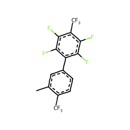 Cc1cc(-c2c(F)c(F)c(C(F)(F)F)c(F)c2F)ccc1C(F)(F)F